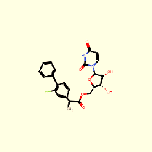 CC(C(=O)OC[C@H]1O[C@@H](n2ccc(=O)[nH]c2=O)[C@H](O)[C@@H]1O)c1ccc(-c2ccccc2)c(F)c1